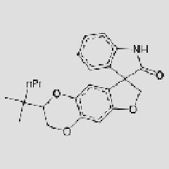 CCCC(C)(C)C1COc2cc3c(cc2O1)C1(CO3)C(=O)Nc2ccccc21